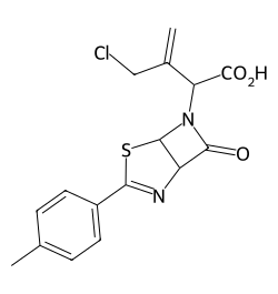 C=C(CCl)C(C(=O)O)N1C(=O)C2N=C(c3ccc(C)cc3)SC21